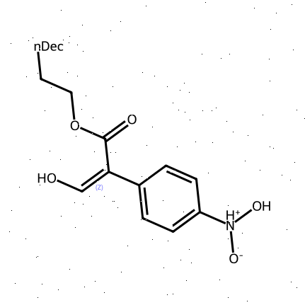 CCCCCCCCCCCCOC(=O)/C(=C\O)c1ccc([NH+]([O-])O)cc1